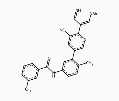 CN/C=C(\C=N)c1ncc(-c2cc(NC(=O)c3ccnc(C(F)(F)F)c3)ccc2C)cc1C#N